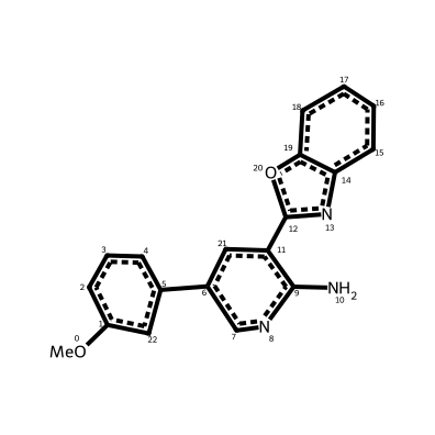 COc1cccc(-c2cnc(N)c(-c3nc4ccccc4o3)c2)c1